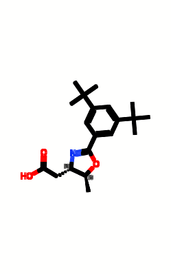 C[C@@H]1OC(c2cc(C(C)(C)C)cc(C(C)(C)C)c2)=N[C@H]1CC(=O)O